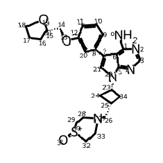 Nc1ncnc2c1c(-c1cccc(OC[C@@H]3CCCO3)c1)cn2[C@H]1C[C@@H](CN2CC[S+]([O-])CC2)C1